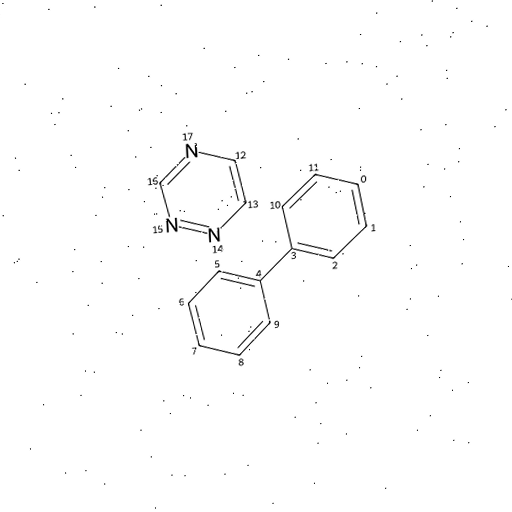 c1ccc(-c2ccccc2)cc1.c1cnncn1